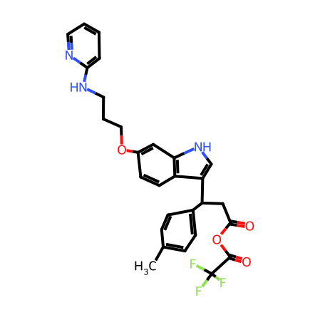 Cc1ccc(C(CC(=O)OC(=O)C(F)(F)F)c2c[nH]c3cc(OCCCNc4ccccn4)ccc23)cc1